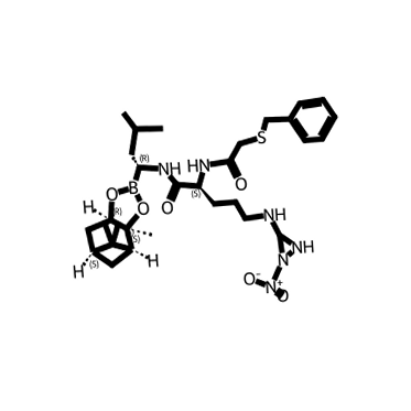 CC(C)C[C@H](NC(=O)[C@H](CCCNC1NN1[N+](=O)[O-])NC(=O)CSCc1ccccc1)B1O[C@@H]2C[C@@H]3C[C@@H](C3(C)C)[C@]2(C)O1